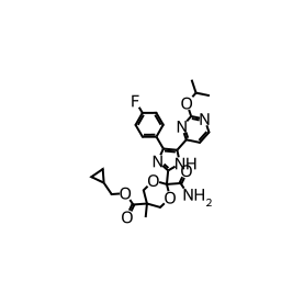 CC(C)Oc1nccc(-c2[nH]c(C3(C(N)=O)OCC(C)(C(=O)OCC4CC4)CO3)nc2-c2ccc(F)cc2)n1